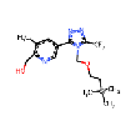 Cc1cc(-c2nnc(C(F)(F)F)n2COCC[Si](C)(C)C)cnc1CO